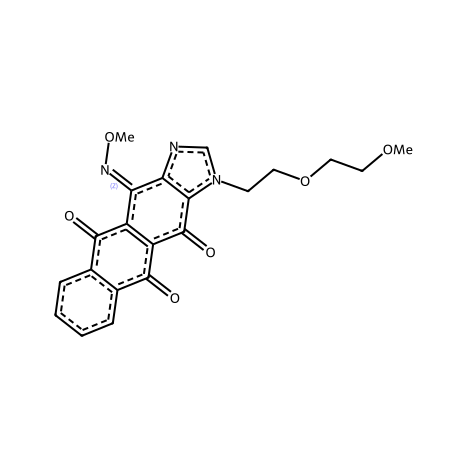 COCCOCCn1cnc2/c(=N\OC)c3c(=O)c4ccccc4c(=O)c=3c(=O)c21